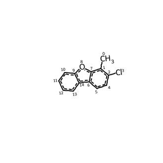 Cc1c(Cl)ccc2c1oc1ccccc12